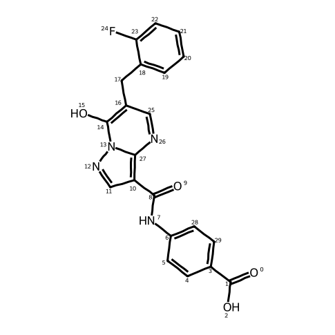 O=C(O)c1ccc(NC(=O)c2cnn3c(O)c(Cc4ccccc4F)cnc23)cc1